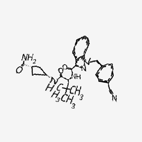 CC(C)(C)[C@H](NC(=O)c1nn(Cc2ccc(C#N)cc2)c2ccccc12)C(=O)N[C@H]1C[C@@H](C(N)=O)C1